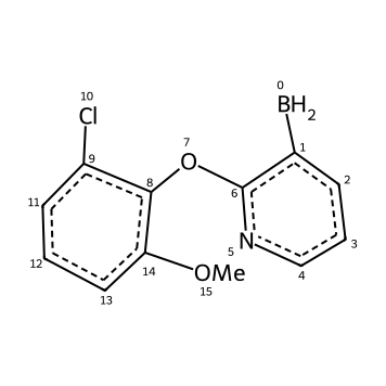 Bc1cccnc1Oc1c(Cl)cccc1OC